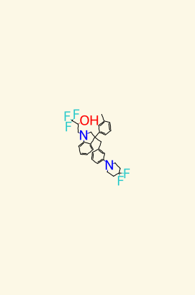 Cc1cccc(C2(Cc3cccc(N4CCC(F)(F)CC4)c3)CN(C[C@@H](O)C(F)(F)F)c3ccccc32)c1